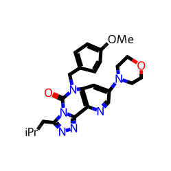 COc1ccc(Cn2c(=O)n3c(CC(C)C)nnc3c3ncc(N4CCOCC4)cc32)cc1